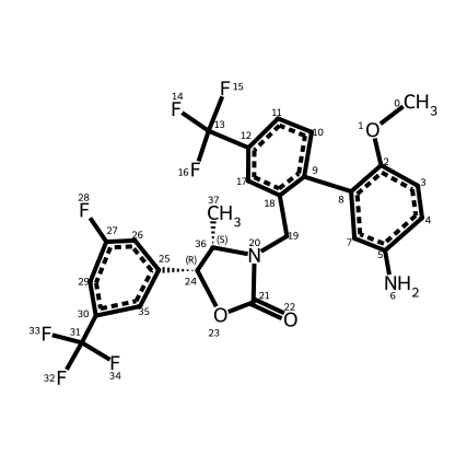 COc1ccc(N)cc1-c1ccc(C(F)(F)F)cc1CN1C(=O)O[C@H](c2cc(F)cc(C(F)(F)F)c2)[C@@H]1C